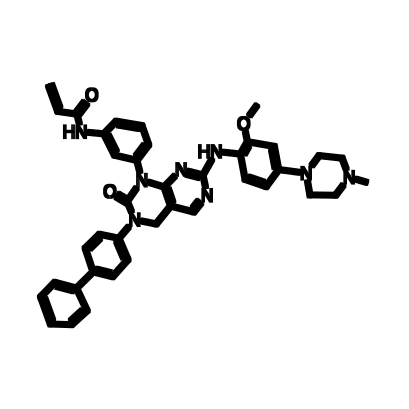 C=CC(=O)Nc1cccc(N2C(=O)N(c3ccc(-c4ccccc4)cc3)Cc3cnc(Nc4ccc(N5CCN(C)CC5)cc4OC)nc32)c1